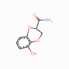 NC(=O)C1COc2c(O)cccc2O1